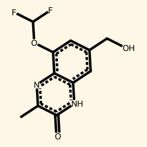 Cc1nc2c(OC(F)F)cc(CO)cc2[nH]c1=O